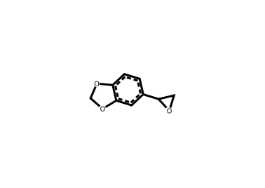 c1cc2c(cc1C1CO1)OCO2